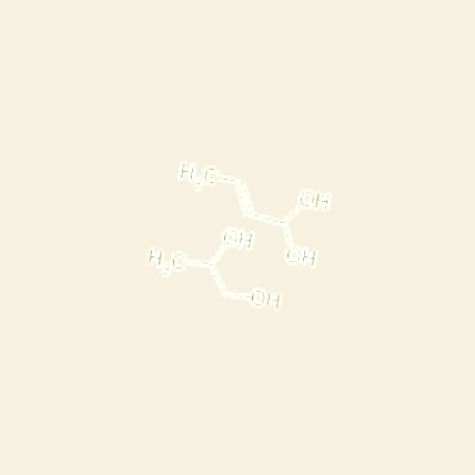 CC(O)CO.CC=CC(O)O